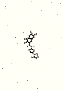 Cc1nnnn1-c1csc(N[C@@H](C)c2cc3cc(Cl)c(F)cc3[nH]c2=O)n1